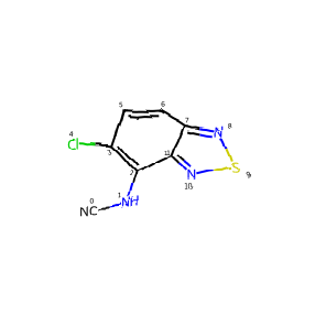 N#CNc1c(Cl)ccc2nsnc12